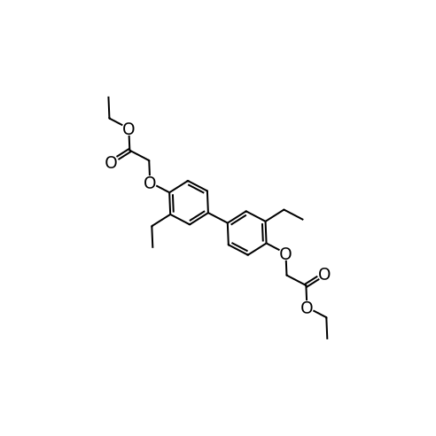 CCOC(=O)COc1ccc(-c2ccc(OCC(=O)OCC)c(CC)c2)cc1CC